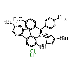 CC(C)C1C=C(C(C)(C)C)C=[C]1[Zr+2](=[C](c1ccc(C(F)(F)F)cc1)c1ccc(C(F)(F)F)cc1)[c]1c(C(C)(C)C)ccc2c1Cc1cc(C(C)(C)C)ccc1-2.[Cl-].[Cl-]